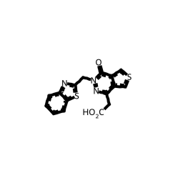 O=C(O)Cc1nn(Cc2nc3ccccc3s2)c(=O)c2cscc12